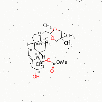 COC(=O)O[C@H]1C[C@H](O)CC2=CC=C3[C@@H]4CC[C@H](C(C)C5OCC(C)(C)CO5)[C@@]4(C)CC[C@@H]3[C@]21C